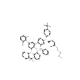 CCCCCc1ccc(N(c2ccc(C(C)(C)C)cc2)c2ccc(-c3cc(-c4c(C)cccc4C)cc4c3Bc3cccc5c3N4c3ccccc3C5(C)C)c(Nc3ccccc3)c2)cc1